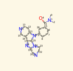 CN(C)C(=O)c1cccc(-n2c3ccncc3c3nc4cnccn4c32)c1